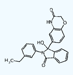 CCc1cccc(N2C(=O)c3ccccc3C2(O)c2ccc3c(c2)NC(=O)CO3)c1